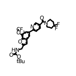 CC(C)(C)OC(=O)NCc1cc2cc(-c3ccc(C(=O)N4CCC(F)(F)CC4)cn3)cc(OC(F)(F)F)c2o1